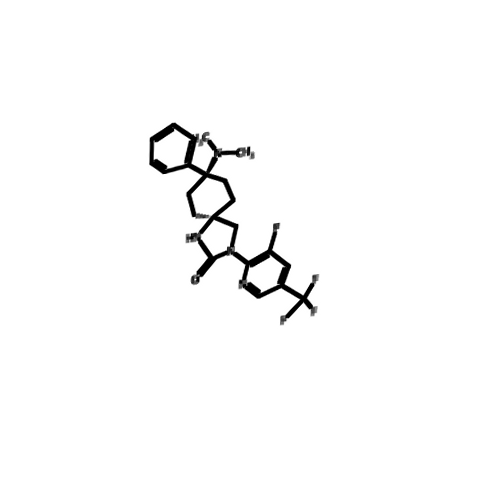 CN(C)[C@]1(c2ccccc2)CC[C@]2(CC1)CN(c1ncc(C(F)(F)F)cc1F)C(=O)N2